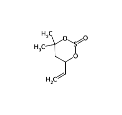 C=CC1CC(C)(C)OS(=O)O1